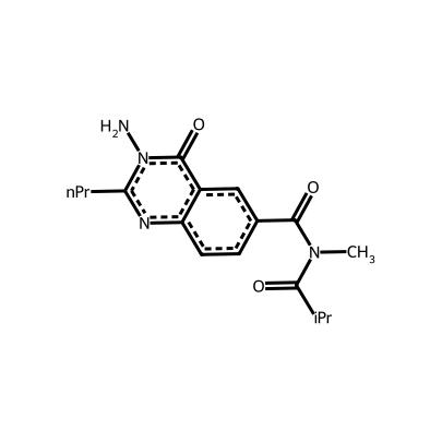 CCCc1nc2ccc(C(=O)N(C)C(=O)C(C)C)cc2c(=O)n1N